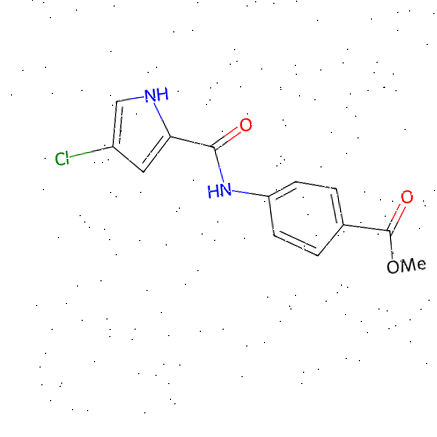 COC(=O)c1ccc(NC(=O)c2cc(Cl)c[nH]2)cc1